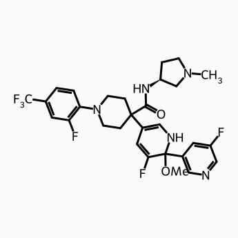 COC1(c2cncc(F)c2)NC=C(C2(C(=O)N[C@H]3CCN(C)C3)CCN(c3ccc(C(F)(F)F)cc3F)CC2)C=C1F